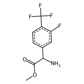 COC(=O)C(N)c1ccc(C(F)(F)F)c(F)c1